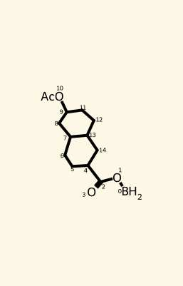 BOC(=O)C1CCC2CC(OC(C)=O)CCC2C1